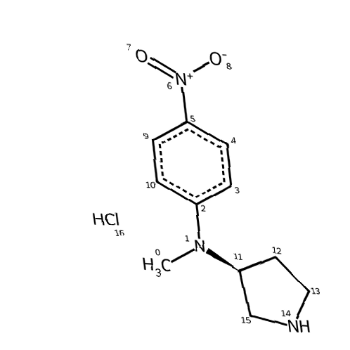 CN(c1ccc([N+](=O)[O-])cc1)[C@H]1CCNC1.Cl